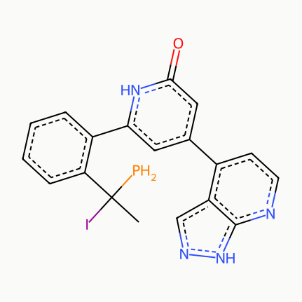 CC(P)(I)c1ccccc1-c1cc(-c2ccnc3[nH]ncc23)cc(=O)[nH]1